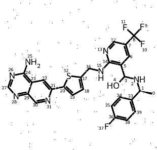 C[C@H](NC(O)c1cc(C(F)(F)F)cnc1NCc1ccc(-c2cc3c(N)ncnc3cn2)s1)c1ccc(F)cc1